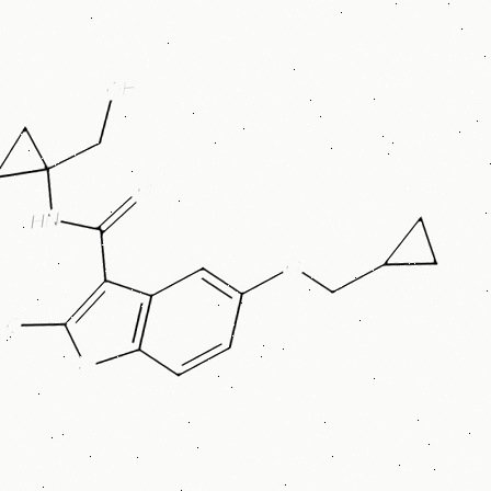 Cc1oc2ccc(OCC3CC3)cc2c1C(=O)NC1(CO)CC1